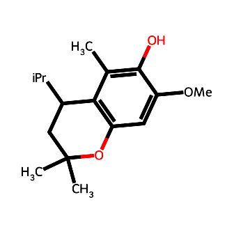 COc1cc2c(c(C)c1O)C(C(C)C)CC(C)(C)O2